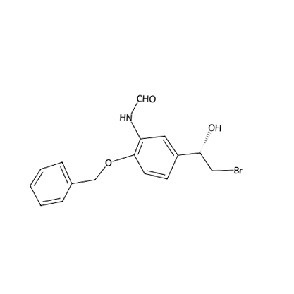 O=CNc1cc([C@H](O)CBr)ccc1OCc1ccccc1